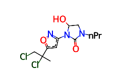 CCCN1CC(O)N(c2cc(C(C)(Cl)CCl)on2)C1=O